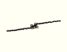 C#CC#CC#CC#CC#CC#CC#CC#CC#CC#CC#COC(=O)CC(O)C(=O)OC#CC#CC#CC#CC#CC#CC#CC#CC#CC#CC#C